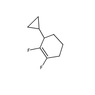 FC1=C(F)C(C2CC2)CCC1